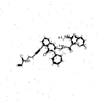 C=CC(=O)NCCC#Cc1cccc2cc([C@@H](C)NC(=O)c3c(N)nc4ccc(C)nn34)n(-c3ccccc3)c(=O)c12